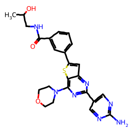 CC(O)CNC(=O)c1cccc(-c2cc3nc(-c4cnc(N)nc4)nc(N4CCOCC4)c3s2)c1